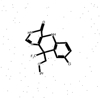 CC(C)OCC1(C(F)(F)F)c2cc(Cl)ccc2Nc2c1nc[nH]c2=O